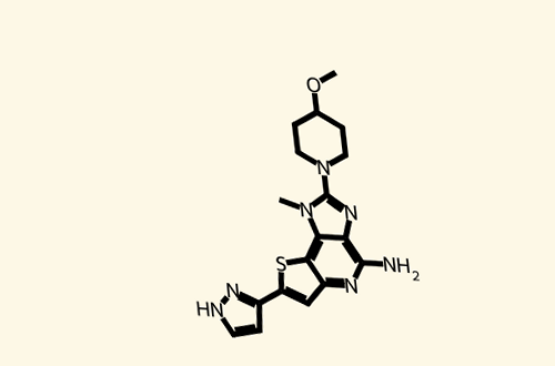 COC1CCN(c2nc3c(N)nc4cc(-c5cc[nH]n5)sc4c3n2C)CC1